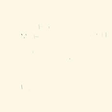 C=CC(=O)OC(C)S(=O)(=O)O.[MgH2]